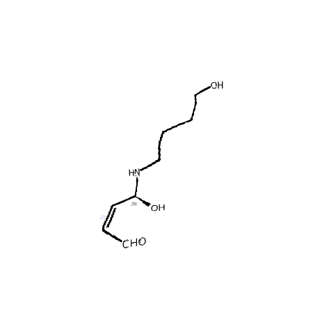 O=C/C=C\[C@H](O)NCCCCO